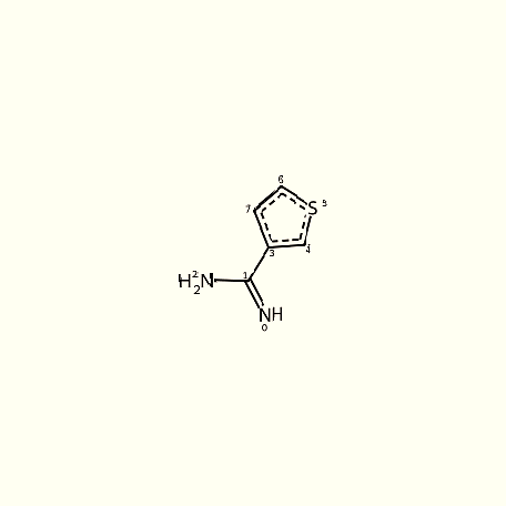 N=C(N)c1[c]scc1